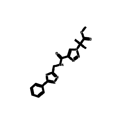 COC(=O)C(C)(C)n1cc(C(=O)NCc2nnc(-c3ccccc3)s2)nn1